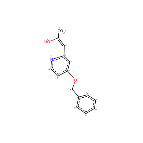 O=C(O)/C(O)=C/c1cc(OCc2ccccc2)ccn1